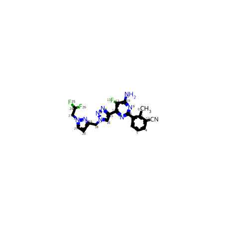 Cc1c(C#N)cccc1-c1nc(N)c(F)c(-c2cn(Cc3ccn(CC(F)F)n3)nn2)n1